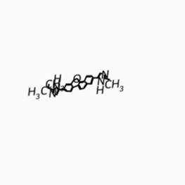 CCc1ncc(-c2ccc3c4c(ccc3c2)-c2ccc(-c3cnc(C(C)C)[nH]3)cc2CO4)[nH]1